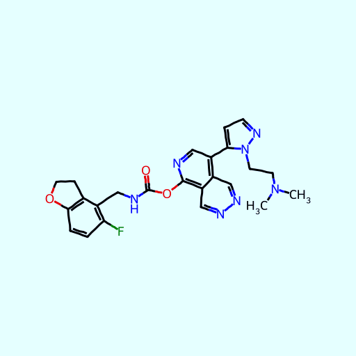 CN(C)CCn1nccc1-c1cnc(OC(=O)NCc2c(F)ccc3c2CCO3)c2cnncc12